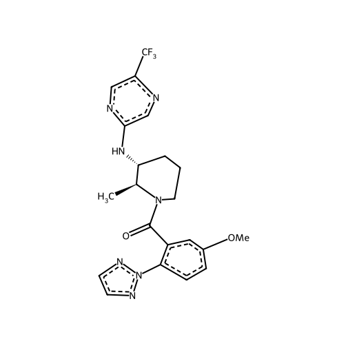 COc1ccc(-n2nccn2)c(C(=O)N2CCC[C@@H](Nc3cnc(C(F)(F)F)cn3)[C@@H]2C)c1